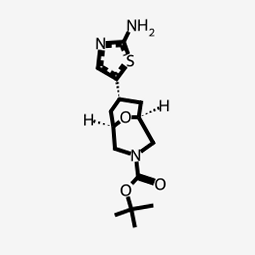 CC(C)(C)OC(=O)N1C[C@H]2C[C@H](c3cnc(N)s3)C[C@@H](C1)O2